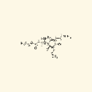 CCCCn1c(=O)n(CCC)c(=O)c2c(NCC(=O)OCC)[nH]nc21